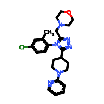 Cc1cc(Cl)ccc1-n1c(CN2CCOCC2)nnc1C1CCN(c2ccccn2)CC1